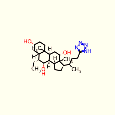 CC[C@H]1[C@@H](O)[C@@H]2[C@H](C[C@H](O)[C@]3(C)[C@@H]([C@H](C)CCc4nnn[nH]4)CC[C@@H]23)[C@@]2(C)CC[C@@H](O)C[C@@H]12